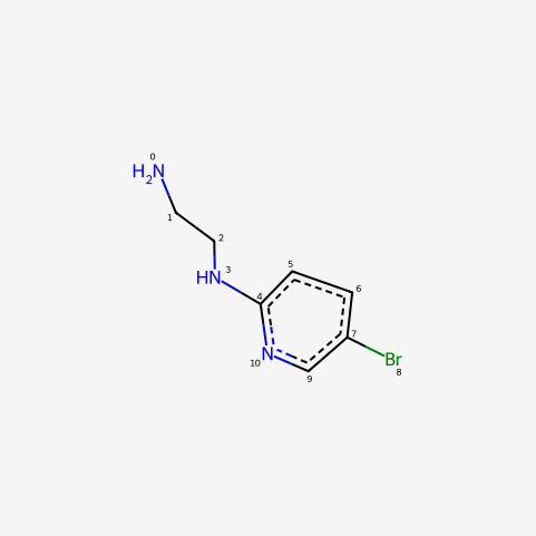 NCCNc1ccc(Br)cn1